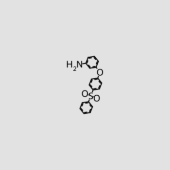 Nc1cccc(Oc2ccc(S(=O)(=O)c3ccccc3)cc2)c1